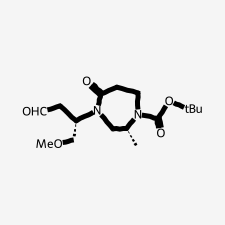 COC[C@H](CC=O)N1C[C@@H](C)N(C(=O)OC(C)(C)C)CCC1=O